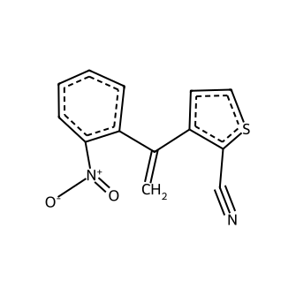 C=C(c1ccccc1[N+](=O)[O-])c1ccsc1C#N